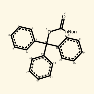 CCCCCCCCCC(=O)OC(c1ccccc1)(c1ccccc1)c1ccccc1